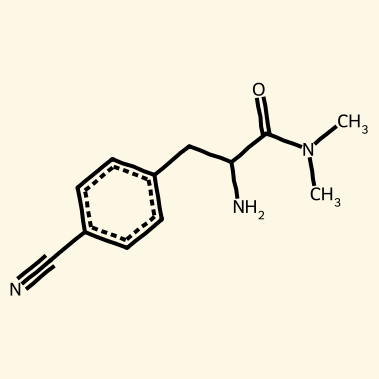 CN(C)C(=O)C(N)Cc1ccc(C#N)cc1